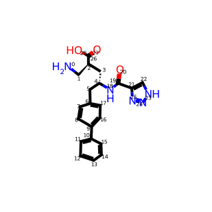 NC[C@H](C[C@@H](Cc1ccc(-c2ccccc2)cc1)NC(=O)c1c[nH]nn1)C(=O)O